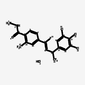 Cl.NNC(=O)c1ccc(C(F)=CC(c2cc(Cl)c(Cl)c(Cl)c2)C(F)(F)F)cc1C(F)(F)F